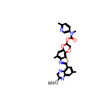 COc1cnc2c(-c3nc4c(C)cc5c(c4s3)OCC(OC(=O)N(C)c3ccc(C)nc3)O5)cc(C)cc2n1